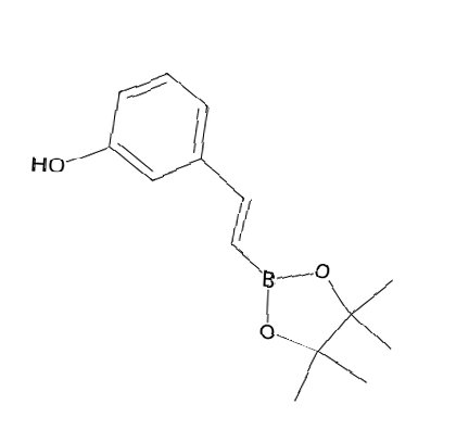 CC1(C)OB(/C=C/c2cccc(O)c2)OC1(C)C